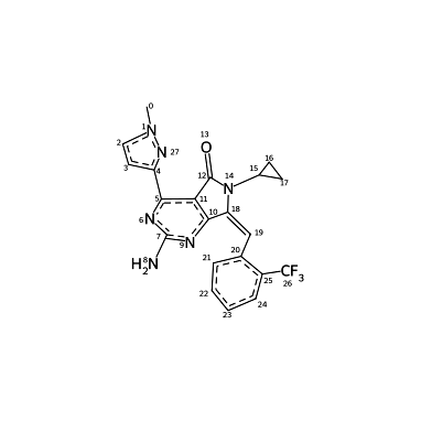 Cn1ccc(-c2nc(N)nc3c2C(=O)N(C2CC2)/C3=C/c2ccccc2C(F)(F)F)n1